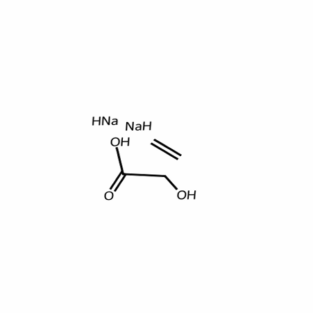 C=C.O=C(O)CO.[NaH].[NaH]